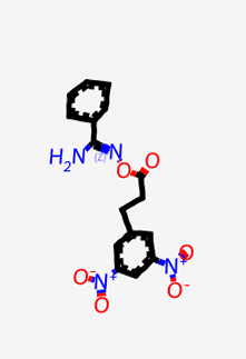 N/C(=N\OC(=O)CCc1cc([N+](=O)[O-])cc([N+](=O)[O-])c1)c1ccccc1